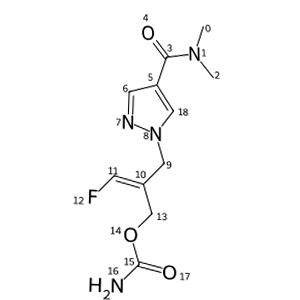 CN(C)C(=O)c1cnn(CC(=CF)COC(N)=O)c1